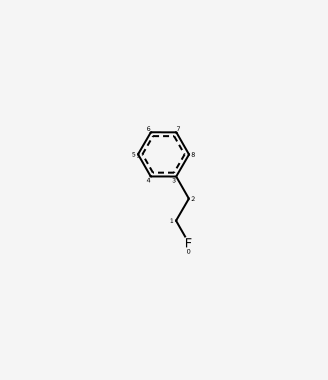 FCCc1c[c]ccc1